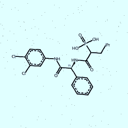 CC(C)CC(C(=O)N[C@H](C(=O)Nc1ccc(Cl)c(Cl)c1)c1ccccc1)P(=O)(O)O